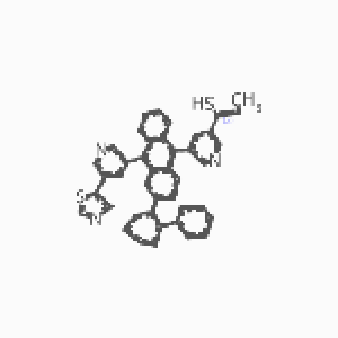 C/C=C(\S)c1cncc(-c2c3ccccc3c(-c3cncc(-c4cncs4)c3)c3cc(-c4ccccc4-c4ccccc4)ccc23)c1